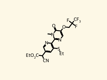 CCOC(=O)C(C#N)c1cnc(-c2ncc(OCC(F)(F)C(F)(F)F)c(=O)n2C)c(SCC)c1